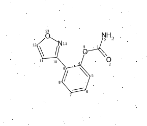 NC(=O)Oc1ccccc1-c1ccon1